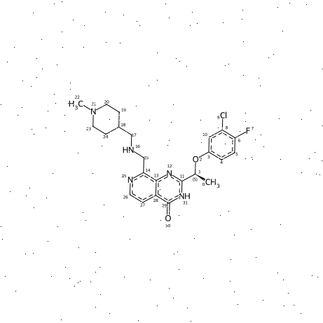 C[C@H](Oc1ccc(F)c(Cl)c1)c1nc2c(CNCC3CCN(C)CC3)nccc2c(=O)[nH]1